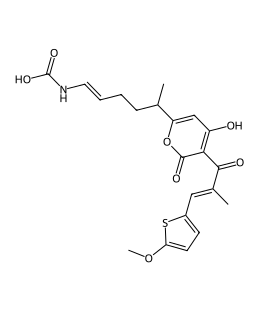 COc1ccc(C=C(C)C(=O)c2c(O)cc(C(C)CC/C=C/NC(=O)O)oc2=O)s1